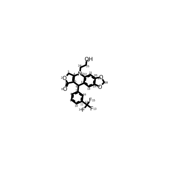 O=C1OCC2=C1C(c1cccc(C(F)(F)F)c1)c1cc3c(cc1N2CCO)OCO3